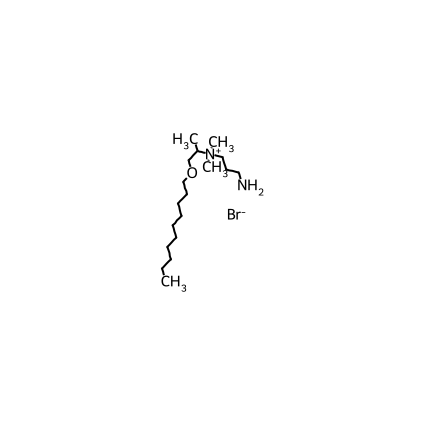 CCCCCCCCCCOCC(C)[N+](C)(C)CCCN.[Br-]